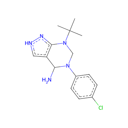 CC(C)(C)N1CN(c2ccc(Cl)cc2)C(N)c2c[nH]nc21